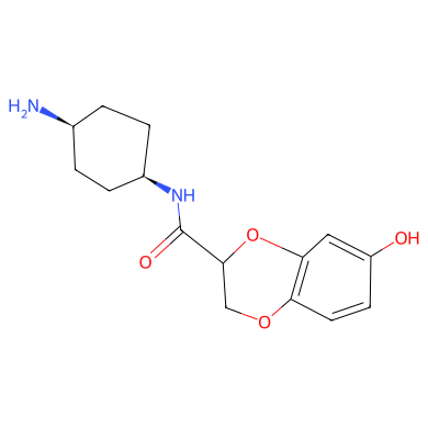 N[C@H]1CC[C@@H](NC(=O)C2COc3ccc(O)cc3O2)CC1